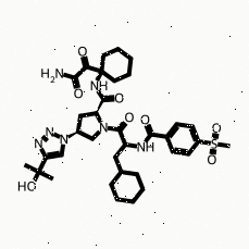 CC(C)(O)c1cn([C@H]2C[C@@H](C(=O)NC3(C(=O)C(N)=O)CCCCC3)N(C(=O)C(CC3CCCCC3)NC(=O)c3ccc(S(C)(=O)=O)cc3)C2)nn1